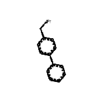 CC(C)Cc1ccc(-c2cc[c]cc2)cc1